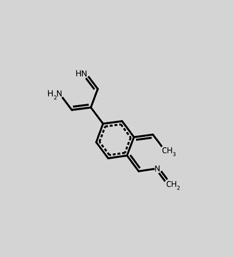 C=N/C=c1/ccc(/C(C=N)=C/N)c/c1=C/C